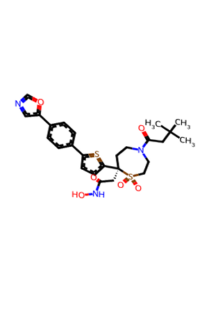 CC(C)(C)CC(=O)N1CC[C@](CC(=O)NO)(c2ccc(-c3ccc(-c4cnco4)cc3)s2)S(=O)(=O)CC1